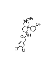 CC(C)C[N@+]1(C)CC[C@]2(c3cccc(O)c3)C[C@@H](NC(=O)Cc3ccc(Cl)c(Cl)c3)CCC2C1